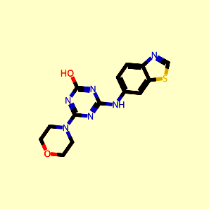 Oc1nc(Nc2ccc3ncsc3c2)nc(N2CCOCC2)n1